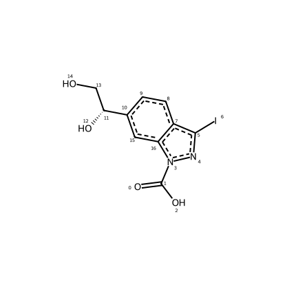 O=C(O)n1nc(I)c2ccc([C@H](O)CO)cc21